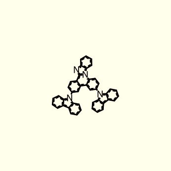 c1ccc2c(c1)nc1c3ccc(-n4c5ccccc5c5ccccc54)cc3c3cc(-n4c5ccccc5c5ccccc54)ccc3n21